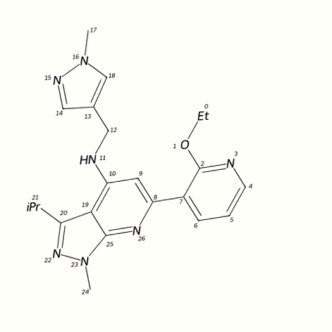 CCOc1ncccc1-c1cc(NCc2cnn(C)c2)c2c(C(C)C)nn(C)c2n1